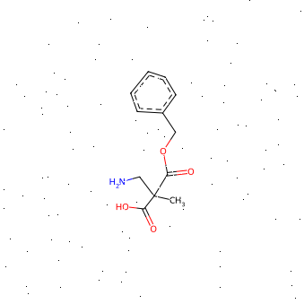 CC(CN)(C(=O)O)C(=O)OCc1ccccc1